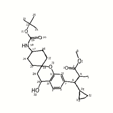 COC(=O)C(C)C(c1ccc2c(c1)OC1(CCC(NC(=O)OC(C)(C)C)CC1)CC2O)C1CC1